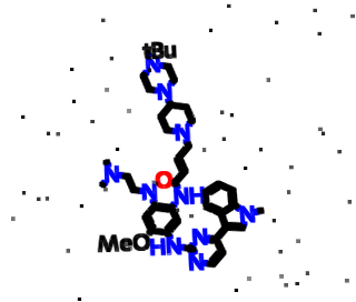 COc1cc(N(C)CCN(C)C)c(NC(=O)/C=C/CN2CCC(N3CCN(C(C)(C)C)CC3)CC2)cc1Nc1nccc(-c2cn(C)c3ccccc23)n1